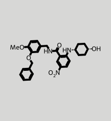 COc1ccc(CNC(=O)c2cc([N+](=O)[O-])ccc2N[C@H]2CC[C@@H](O)CC2)cc1OCc1ccccc1